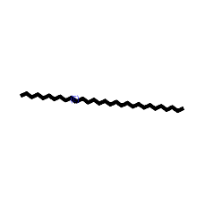 CCCCCCCCC/C=C/CCCCCCCCCCCCCCCCCCC